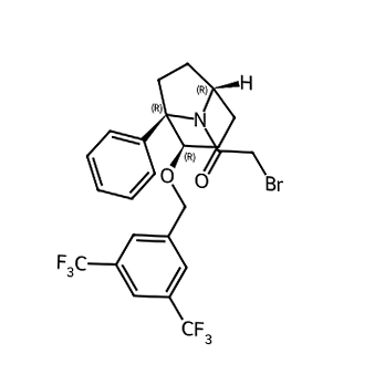 O=C(CBr)N1[C@H]2CC[C@@H](OCc3cc(C(F)(F)F)cc(C(F)(F)F)c3)[C@]1(c1ccccc1)CC2